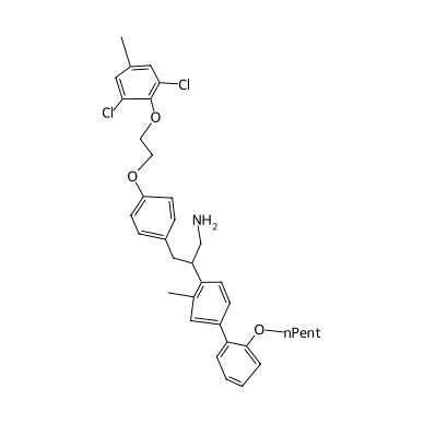 CCCCCOc1ccccc1-c1ccc(C(CN)Cc2ccc(OCCOc3c(Cl)cc(C)cc3Cl)cc2)c(C)c1